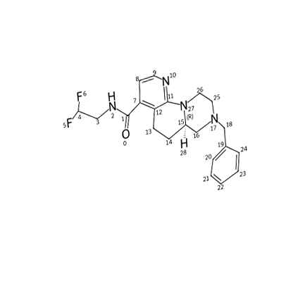 O=C(NCC(F)F)c1ccnc2c1CC[C@@H]1CN(Cc3ccccc3)CCN21